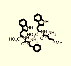 CSCC[C@H](N)C(=O)N[C@@H](Cc1c[nH]c2ccccc12)C(=O)O.N[C@@H](Cc1ccccc1)C(=O)N[C@@H](Cc1c[nH]c2ccccc12)C(=O)O